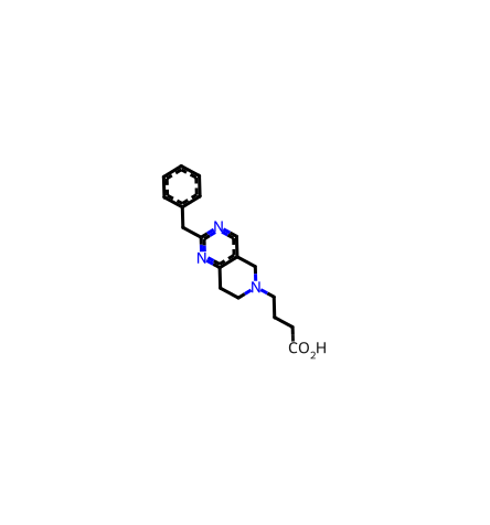 O=C(O)CCCN1CCc2nc(Cc3ccccc3)ncc2C1